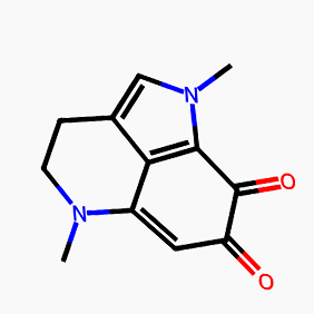 CN1CCc2cn(C)c3c2C1=CC(=O)C3=O